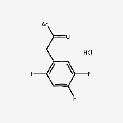 CC(=O)C(=O)Cc1cc(F)c(F)cc1F.Cl